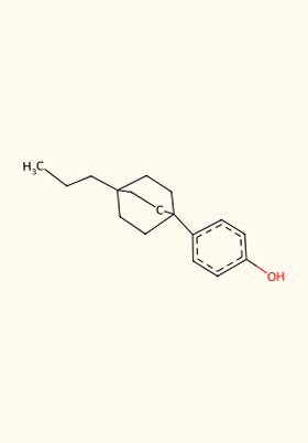 CCCC12CCC(c3ccc(O)cc3)(CC1)CC2